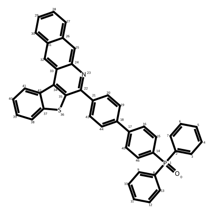 O=P(c1ccccc1)(c1ccccc1)c1ccc(-c2ccc(-c3nc4cc5ccccc5cc4c4c3sc3ccccc34)cc2)cc1